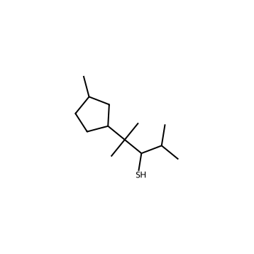 CC1CCC(C(C)(C)C(S)C(C)C)C1